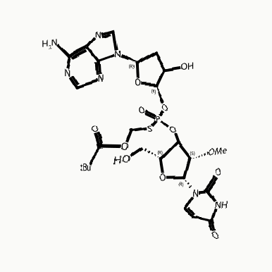 CO[C@H]1C(OP(=O)(O[C@H]2O[C@@H](n3cnc4c(N)ncnc43)CC2O)SCOC(=O)C(C)(C)C)[C@@H](CO)O[C@H]1n1ccc(=O)[nH]c1=O